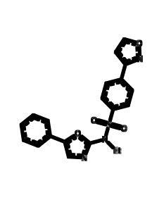 CCN(c1ncc(-c2ccccc2)o1)S(=O)(=O)c1ccc(-c2ccon2)cc1